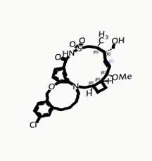 CO[C@H]1/C=C/[C@@H](CO)[C@@H](C)CS(=O)(=O)NC(=O)c2ccc3c(c2)N(CCCCc2cc(Cl)ccc2CO3)C[C@@H]2CC[C@H]21